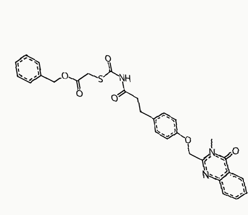 Cn1c(COc2ccc(CCC(=O)NC(=O)SCC(=O)OCc3ccccc3)cc2)nc2ccccc2c1=O